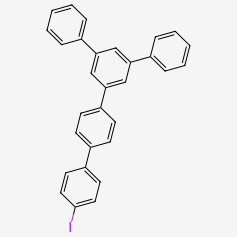 Ic1ccc(-c2ccc(-c3cc(-c4ccccc4)cc(-c4ccccc4)c3)cc2)cc1